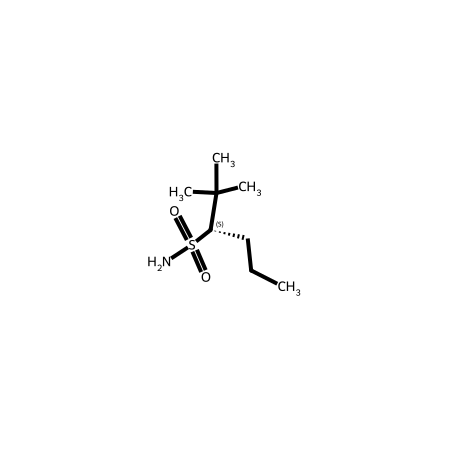 CCC[C@@H](C(C)(C)C)S(N)(=O)=O